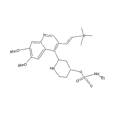 CCNS(=O)(=O)OC1CCNC(c2c(C=C[Si](C)(C)C)cnc3cc(OC)c(OC)cc23)C1